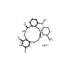 CCN(c1cccc2c1CC=CCCc1cc(C)[nH]c(=O)c1CNC2=O)[C@H]1CC[C@H](N)CC1.Cl